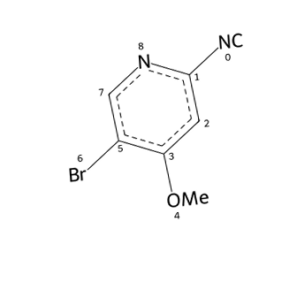 [C-]#[N+]c1cc(OC)c(Br)cn1